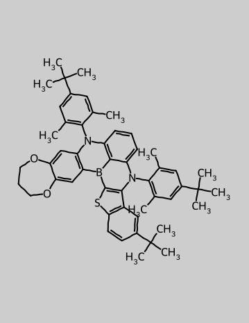 Cc1cc(C(C)(C)C)cc(C)c1N1c2cc3c(cc2B2c4sc5ccc(C(C)(C)C)cc5c4N(c4c(C)cc(C(C)(C)C)cc4C)c4cccc1c42)OCCCO3